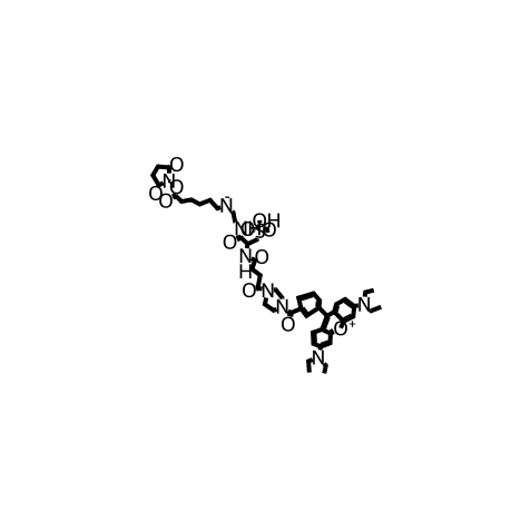 CCN(CC)c1ccc2c(-c3cccc(C(=O)N4CCN(C(=O)CCC(=O)NC(CS(=O)(=O)O)C(=O)NCCN(C)CCCCCC(=O)ON5C(=O)CCC5=O)CC4)c3)c3ccc(N(CC)CC)cc3[o+]c2c1